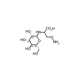 NOCC(NC1O[C@H](CO)[C@@H](O)[C@H](O)[C@@H]1O)C(=O)O